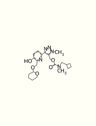 CN(CC1CCC1)C(=O)OCc1c(-c2ccc(O)c(COC3CCCCO3)n2)nnn1C